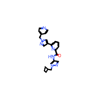 O=C(Nc1cnn(CC2CCC2)c1)c1cccc(-c2cnn(Cc3ccncc3)c2)n1